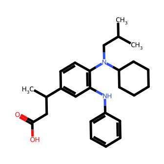 CC(C)CN(c1ccc(C(C)CC(=O)O)cc1Nc1ccccc1)C1CCCCC1